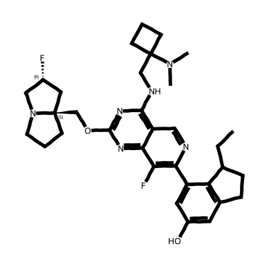 CCC1CCc2cc(O)cc(-c3ncc4c(NCC5(N(C)C)CCC5)nc(OC[C@@]56CCCN5C[C@H](F)C6)nc4c3F)c21